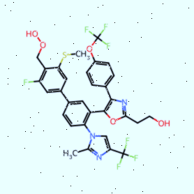 CSc1cc(-c2ccc(-n3cc(C(F)(F)F)nc3C)c(-c3oc(CCO)nc3-c3ccc(OC(F)(F)F)cc3)c2)cc(F)c1COO